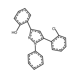 Oc1ccccc1-c1cc(-c2ccccc2Cl)n(-c2ccccc2)n1